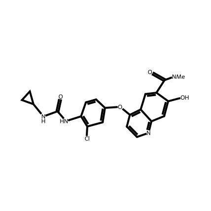 CNC(=O)c1cc2c(Oc3ccc(NC(=O)NC4CC4)c(Cl)c3)ccnc2cc1O